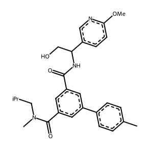 COc1ccc(C(CO)NC(=O)c2cc(C(=O)N(C)CC(C)C)cc(-c3ccc(C)cc3)c2)cn1